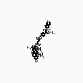 CC1=CC(=O)C=C2CC[C@H]3[C@@H]4C[C@@H](C)[C@](O)(C(=O)COC(=O)CCC(=O)OCc5ccc(C(CN)C(=O)Nc6ccc7cnccc7c6)cc5)[C@@]4(C)C[C@H](O)[C@]3(F)C12